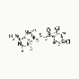 Cc1nc(N)c2nc(C)n(CCC[S+]([O-])c3ccc(Cl)cc3Cl)c2c1C